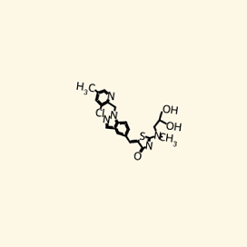 Cc1cnc(Cn2ncc3cc(/C=C4\SC(N(C)CC(O)CO)=NC4=O)ccc32)c(Cl)c1